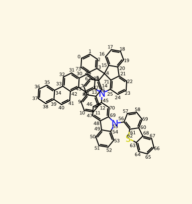 c1ccc(C2(c3ccc4ccccc4c3)c3ccccc3-c3cccc(N(c4ccc5ccc6c7ccccc7ccc6c5c4)c4ccc5c6ccccc6n(-c6cccc7c6sc6ccccc67)c5c4)c32)cc1